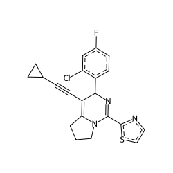 Fc1ccc(C2N=C(c3nccs3)N3CCCC3=C2C#CC2CC2)c(Cl)c1